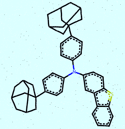 c1ccc2c(c1)sc1ccc(N(c3ccc(C45CC6CC(CC(C6)C4)C5)cc3)c3ccc(C45CC6CC(CC(C6)C4)C5)cc3)cc12